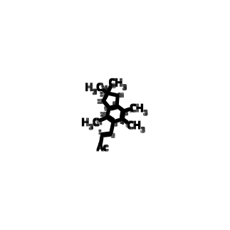 CC(=O)C=Cc1c(C)c(C)c2c(c1C)CC(C)(C)C2